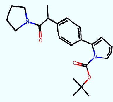 CC(C(=O)N1CCCC1)c1ccc(-c2cccn2C(=O)OC(C)(C)C)cc1